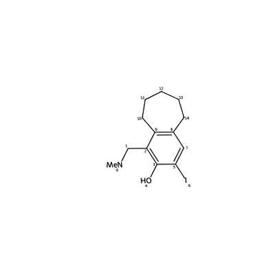 CNCc1c(O)c(I)cc2c1CCCCC2